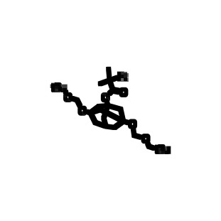 CCC(C)(C)C(=O)OC12CC3CC(OCOCC(C)(C)C)(CC(OCOC(C)(C)C)(C3)C1)C2